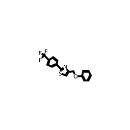 FC(F)(F)c1ccc(-c2nc(COc3ccccc3)[c]s2)cc1